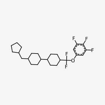 Fc1cc(OC(F)(F)C2CCC(C3CCC(CC4CCCC4)CC3)CC2)cc(F)c1F